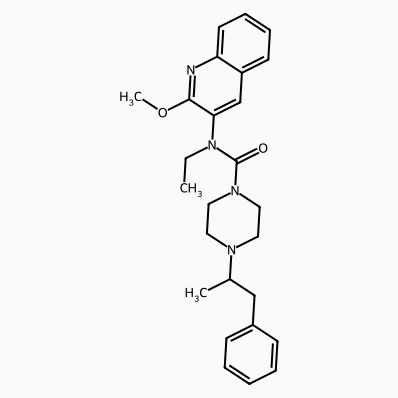 CCN(C(=O)N1CCN(C(C)Cc2ccccc2)CC1)c1cc2ccccc2nc1OC